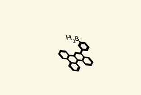 Bc1cccc(C2=CC3C4C=CC=CC4C4C=CC=CC4C3C3C=CC=CC23)c1